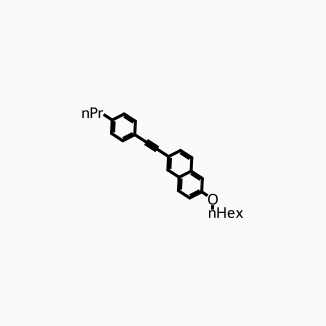 CCCCCCOc1ccc2cc(C#Cc3ccc(CCC)cc3)ccc2c1